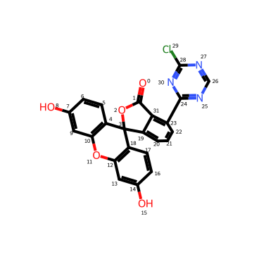 O=C1OC2(c3ccc(O)cc3Oc3cc(O)ccc32)c2cccc(-c3ncnc(Cl)n3)c21